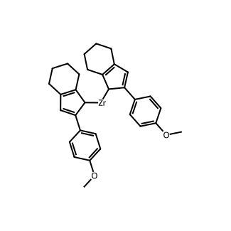 COc1ccc(C2=CC3=C(CCCC3)[CH]2[Zr][CH]2C(c3ccc(OC)cc3)=CC3=C2CCCC3)cc1